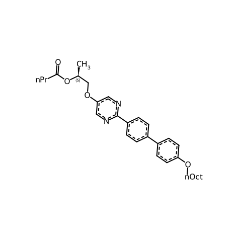 CCCCCCCCOc1ccc(-c2ccc(-c3ncc(OC[C@H](C)OC(=O)CCC)cn3)cc2)cc1